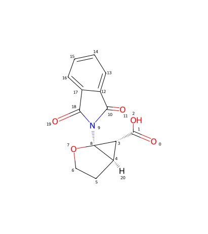 O=C(O)[C@@H]1[C@H]2CCO[C@]21N1C(=O)c2ccccc2C1=O